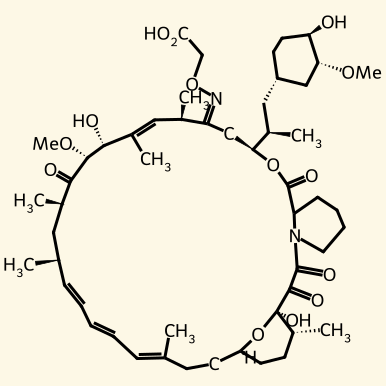 CO[C@@H]1C[C@H](C[C@@H](C)[C@@H]2C/C(=N/OCC(=O)O)[C@H](C)/C=C(\C)[C@@H](O)[C@@H](OC)C(=O)[C@H](C)C[C@H](C)/C=C/C=C/C=C(\C)CC[C@@H]3CC[C@@H](C)[C@@](O)(O3)C(=O)C(=O)N3CCCCC3C(=O)O2)CC[C@H]1O